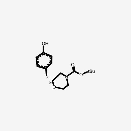 CC(C)(C)OC(=O)N1CCO[C@H](Cc2ccc(O)cc2)C1